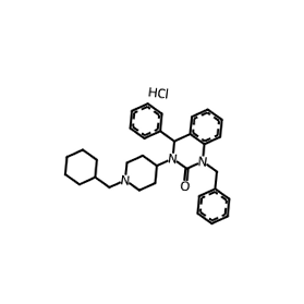 Cl.O=C1N(Cc2ccccc2)c2ccccc2C(c2ccccc2)N1C1CCN(CC2CCCCC2)CC1